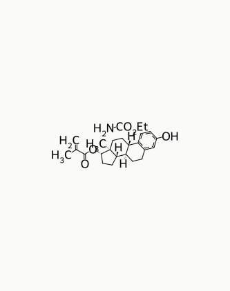 C=C(C)C(=O)O[C@H]1CC[C@H]2[C@@H]3CCc4cc(O)ccc4[C@H]3CC[C@]12C.CCOC(N)=O